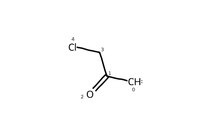 [CH]C(=O)CCl